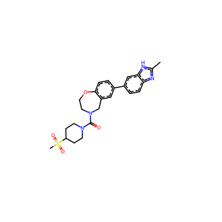 Cc1nc2ccc(-c3ccc4c(c3)CN(C(=O)N3CCC(S(C)(=O)=O)CC3)CCO4)cc2[nH]1